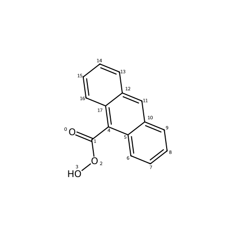 O=C(OO)c1c2ccccc2cc2ccccc12